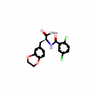 COC(=O)[C@H](Cc1ccc2c(c1)OCCO2)NC(=O)c1cc(Cl)ccc1Cl